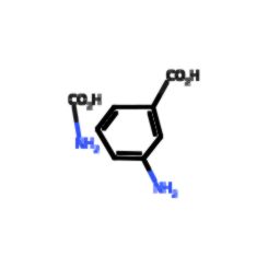 NC(=O)O.Nc1cccc(C(=O)O)c1